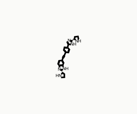 C(#Cc1ccc2nc([C@@H]3CCCN3)[nH]c2c1)c1ccc(-c2cnc([C@H]3CCCN3)[nH]2)cc1